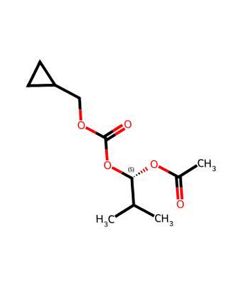 CC(=O)O[C@@H](OC(=O)OCC1CC1)C(C)C